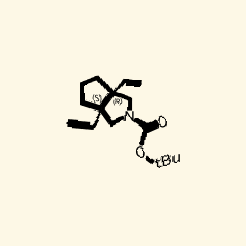 C=C[C@@]12CCC[C@]1(C=C)CN(C(=O)OC(C)(C)C)C2